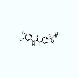 CCNS(=O)(=O)c1ccc(NC(=S)Nc2ccc(F)c(Cl)c2)cc1